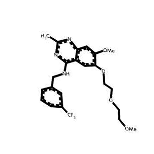 COCCOCCOc1cc2c(NCc3cccc(C(F)(F)F)c3)nc(C)nc2cc1OC